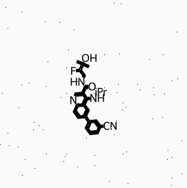 CC(C)Nc1c(C(=O)NCC(F)C(C)(C)O)cnc2ccc(-c3cccc(C#N)c3)cc12